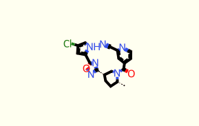 C[C@@H]1CC[C@H](c2noc(-c3cc(Cl)c[nH]3)n2)CN1C(=O)c1ccnc(C#N)c1